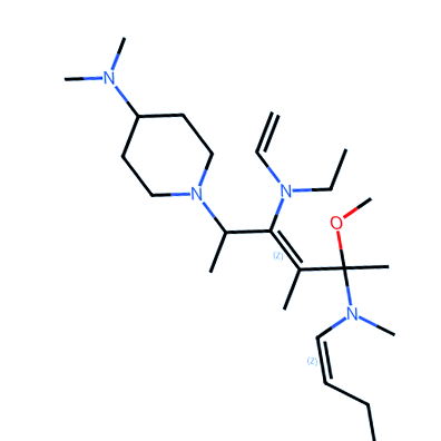 C=CN(CC)/C(=C(/C)C(C)(OC)N(C)/C=C\CC)C(C)N1CCC(N(C)C)CC1